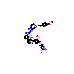 COC(=O)C12CCC(CCN3CCc4c(nc(C(=O)Nc5cccc(-c6ccnc(-c7ccc(CN8CC9(CNC(=O)C9)C8)c(OC)c7)c6Cl)c5Cl)n4C)C3)(CC1)C2